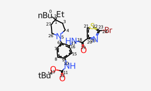 CCCCC1(CC)CCN(c2ccc(NC(=O)OC(C)(C)C)cc2NC(=O)c2csc(Br)n2)CC1